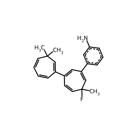 CC1(C)C=CC=CC(C2=CC(c3cccc(N)c3)=CC(C)(F)C=C2)=C1